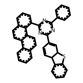 C1=CC2c3ccccc3SC2C=C1c1nc(-c2ccccc2)nc(-c2cccc3ccc4c5ccccc5ccc4c23)n1